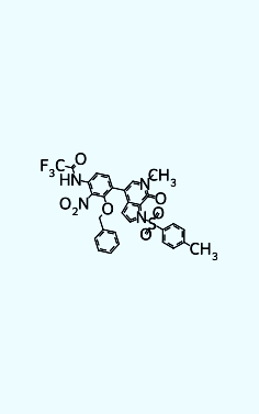 Cc1ccc(S(=O)(=O)n2ccc3c(-c4ccc(NC(=O)C(F)(F)F)c([N+](=O)[O-])c4OCc4ccccc4)cn(C)c(=O)c32)cc1